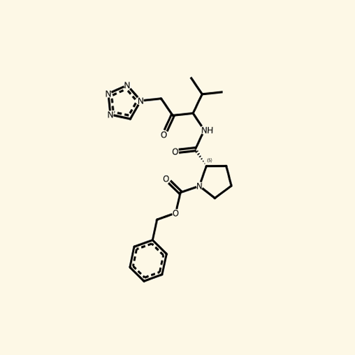 CC(C)C(NC(=O)[C@@H]1CCCN1C(=O)OCc1ccccc1)C(=O)Cn1cnnn1